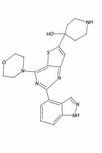 OC1(c2cc3nc(-c4cccc5[nH]ncc45)nc(N4CCOCC4)c3s2)CCNCC1